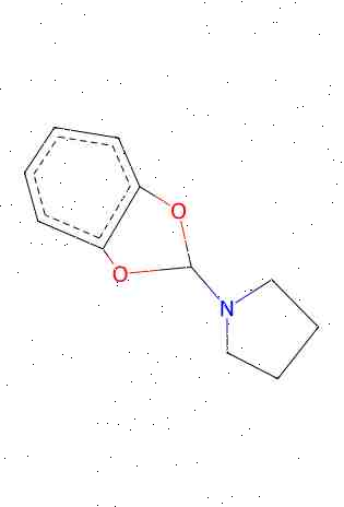 c1ccc2c(c1)OC(N1CCCC1)O2